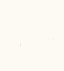 CC1(C=O)NC=Cc2ccccc21